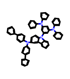 c1ccc(-c2ccc(N(c3ccc(-c4ccccc4)cc3)c3ccc4c(c3)c3ccccc3n4-c3cc(N(c4ccccc4)c4ccccc4)cc(N(c4ccccc4)c4ccccc4)c3)cc2)cc1